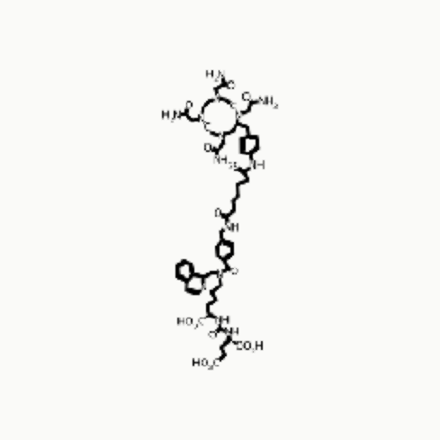 NC(=O)CN1CCN(CC(N)=O)CCN(CC(N)=O)C(Cc2ccc(NC(=S)CCCCCC(=O)NCc3ccc(C(=O)N(CCCC[C@@H](NC(=O)N[C@H](CCC(=O)O)C(=O)O)C(=O)O)Cc4nccc5ccccc45)cc3)cc2)CN(CC(N)=O)CC1